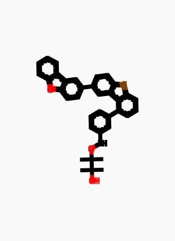 CC(C)(O)C(C)(C)OBc1cccc(-c2cccc3sc4ccc(-c5ccc6oc7ccccc7c6c5)cc4c23)c1